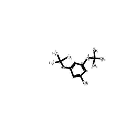 Cc1cc(NC(C)(C)C)cc(NC(C)(C)C)c1